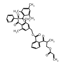 C=CC(=O)OCC(C)C(=O)c1ccccc1C(=O)OCc1cc(C)c(C(=O)P(=O)(C(=O)c2c(C)cc(C)cc2C)c2ccccc2)c(C)c1